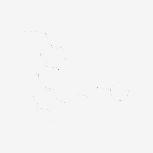 COc1ccc(Nc2ncc(C)c(CNC(C)=O)n2)cc1OCCCN1CCCC1